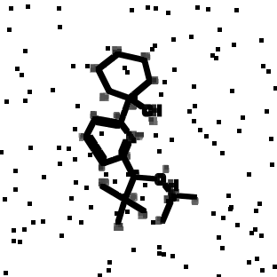 C[SiH](C)OC(c1cccc(C2(O)CCCCC2)n1)C(C)(C)C